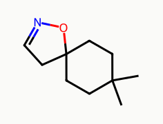 CC1(C)CCC2(CC=NO2)CC1